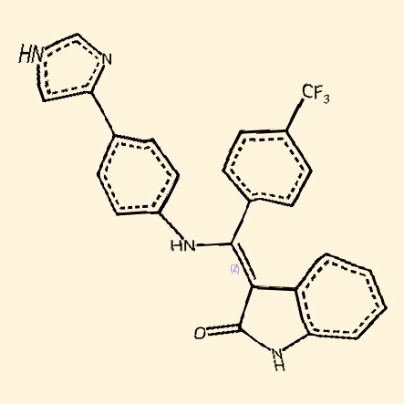 O=C1Nc2ccccc2/C1=C(/Nc1ccc(-c2c[nH]cn2)cc1)c1ccc(C(F)(F)F)cc1